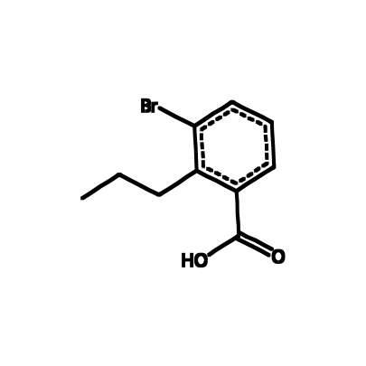 CCCc1c(Br)cccc1C(=O)O